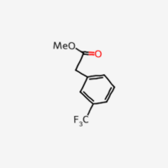 COC(=O)Cc1cccc(C(F)(F)F)c1